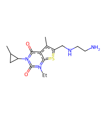 CCn1c(=O)n(C2CC2C)c(=O)c2c(C)c(CNCCN)sc21